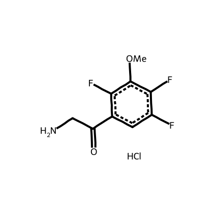 COc1c(F)c(F)cc(C(=O)CN)c1F.Cl